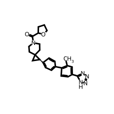 Cc1cc(-c2nnn[nH]2)ccc1-c1ccc([C@H]2CC23CCN(C(=O)C2CCCO2)CC3)cc1